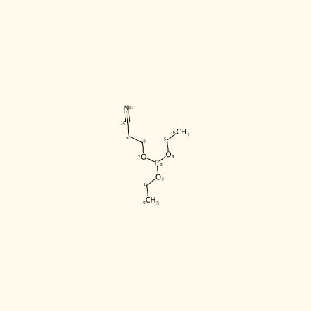 CCOP(OCC)OCCC#N